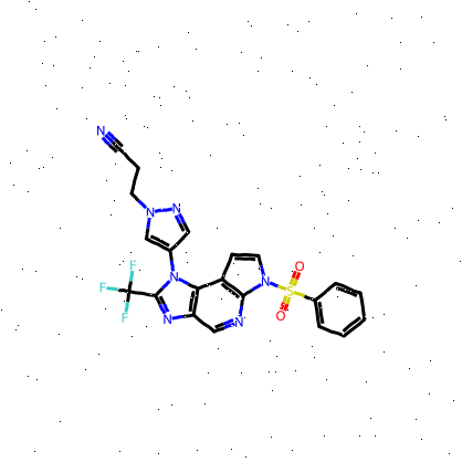 N#CCCn1cc(-n2c(C(F)(F)F)nc3cnc4c(ccn4S(=O)(=O)c4ccccc4)c32)cn1